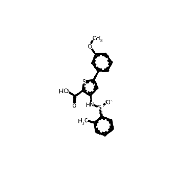 COc1cccc(-c2cc(N[S+]([O-])c3ccccc3C)c(C(=O)O)s2)c1